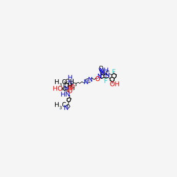 C#Cc1c(F)ccc2cc(O)cc(-c3ncc4c(N5CC6CCC(C5)N6)nc(OCCCN5CCN(CCCCCCC(=O)NC(C(=O)N6C[C@H](O)C[C@H]6C(=O)NCc6ccc(C7=C(C)N=CC7)cc6)C(C)(C)C)CC5)cc4c3F)c12